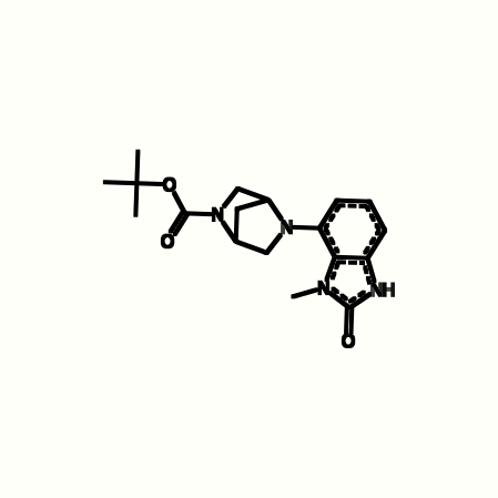 Cn1c(=O)[nH]c2cccc(N3CC4CC3CN4C(=O)OC(C)(C)C)c21